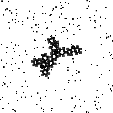 CC1(C)c2ccccc2-c2ccc(N(c3ccc(-c4ccc5c(c4)oc4ccccc45)cc3)c3ccc(-c4cccc5c4-c4ccccc4C54c5ccc6ccccc6c5Oc5c4ccc4ccccc54)cc3)cc21